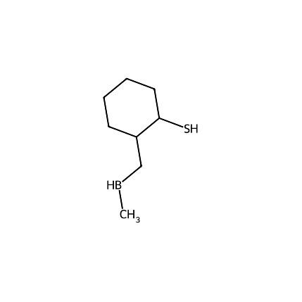 CBCC1CCCCC1S